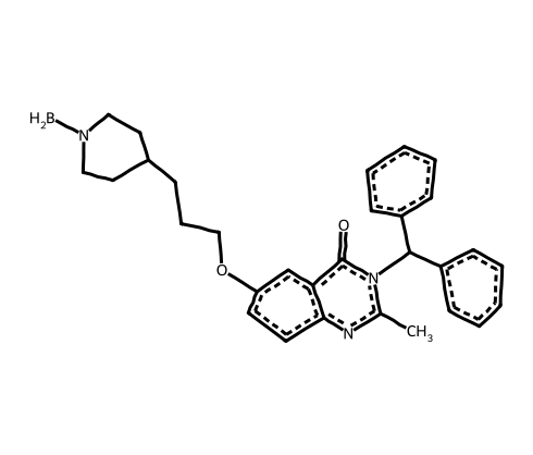 BN1CCC(CCCOc2ccc3nc(C)n(C(c4ccccc4)c4ccccc4)c(=O)c3c2)CC1